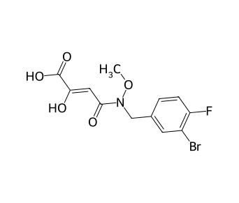 CON(Cc1ccc(F)c(Br)c1)C(=O)C=C(O)C(=O)O